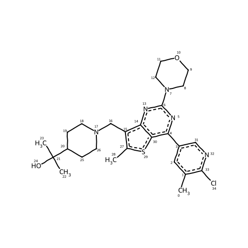 Cc1cc(-c2nc(N3CCOCC3)nc3c(CN4CCC(C(C)(C)O)CC4)c(C)sc23)cnc1Cl